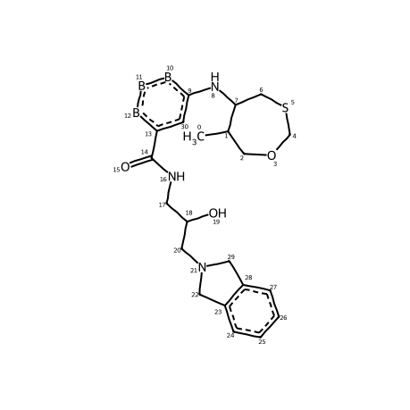 CC1COCSCC1Nc1bbbc(C(=O)NCC(O)CN2Cc3ccccc3C2)c1